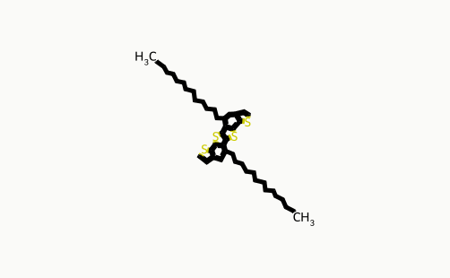 CCCCCCCCCCCCCCc1cc2ccsc2c2sc3c(sc4c5sccc5cc(CCCCCCCCCCCCCC)c43)c12